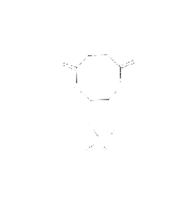 O=C1CCC(=O)OCCO1.[LiH].[O-][Cl+3]([O-])([O-])O